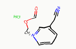 COC=O.Cl.N#Cc1cccnc1